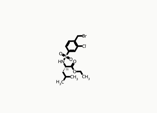 CCOC(=O)[C@H](CC(C)C)NS(=O)(=O)c1ccc(CBr)c(Cl)c1